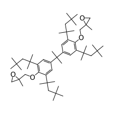 CC(C)(C)CC(C)(C)c1cc(C(C)(C)c2cc(C(C)(C)CC(C)(C)C)c(OCC3(C)CO3)c(C(C)(C)CC(C)(C)C)c2)cc(C(C)(C)CC(C)(C)C)c1OCC1(C)CO1